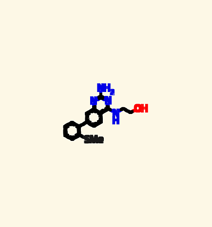 CSc1ccccc1-c1ccc2c(NCCO)nc(N)nc2c1